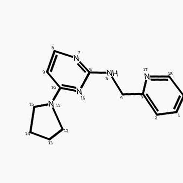 c1ccc(CNc2nccc(N3CCCC3)n2)nc1